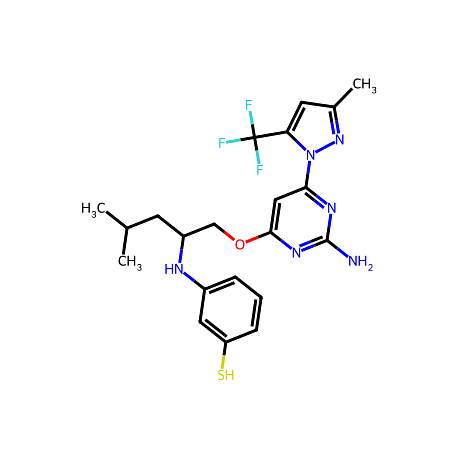 Cc1cc(C(F)(F)F)n(-c2cc(OCC(CC(C)C)Nc3cccc(S)c3)nc(N)n2)n1